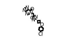 Cn1cnc2ncn(Cc3nc([C@H]4C[C@H](Oc5ccc(Cl)cc5)C4)no3)c(=O)c21